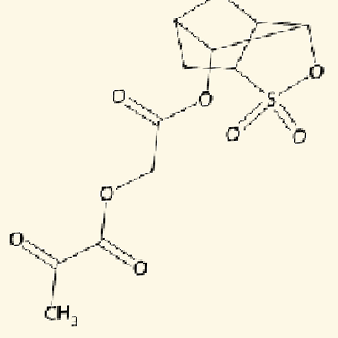 CC(=O)C(=O)OCC(=O)OC1C2CC3C1OS(=O)(=O)C3C2